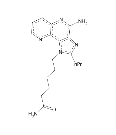 CCCc1nc2c(N)nc3cccnc3c2n1CCCCCC(N)=O